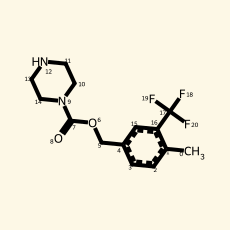 Cc1ccc(COC(=O)N2CCNCC2)cc1C(F)(F)F